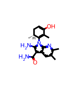 CC1=C(n2c(N)c(C(N)=O)c3cc(C)c(C)nc32)[C@H](C)CC=C1O